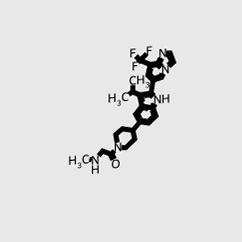 CNCC(=O)N1CCC(c2ccc3[nH]c(-c4cc(C(F)(F)F)c5nccn5c4)c(C(C)C)c3c2)CC1